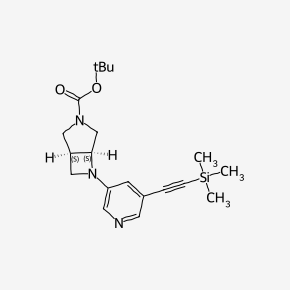 CC(C)(C)OC(=O)N1C[C@@H]2CN(c3cncc(C#C[Si](C)(C)C)c3)[C@@H]2C1